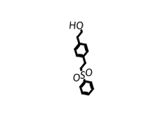 O=S(=O)(CCc1ccc(CCO)cc1)c1ccccc1